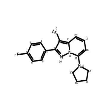 CC(=O)c1c(-c2ccc(F)cc2)nn2c(N3CCCC3)cccc12